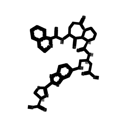 O=C(O)C[C@@H](CNc1ccc2nc(C3=N[C@@H](C(=O)O)CS3)sc2c1)NC(=O)[C@@H]1CCCN2C(=O)CCC(NC(=O)c3nccc4ccccc34)C(=O)N12